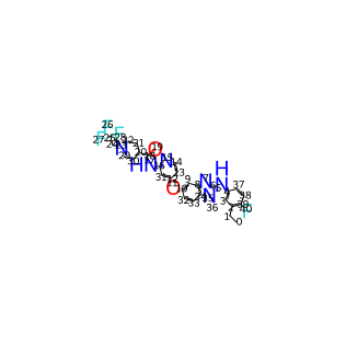 CCc1cc(Nc2nc3cc(Oc4ccnc(NC(=O)C5CCN(CC(F)(F)F)CC5)c4)ccc3n2C)ccc1F